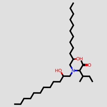 CCCCCCCCCCC(O)CN(CC(O)CCCCCCCCCC)C(C(C)=O)C(C)CC